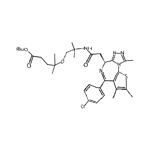 Cc1sc2c(c1C)C(c1ccc(Cl)cc1)=N[C@@H](CC(=O)NC(C)(C)COC(C)(C)CCC(=O)OCC(C)C)c1nnc(C)n1-2